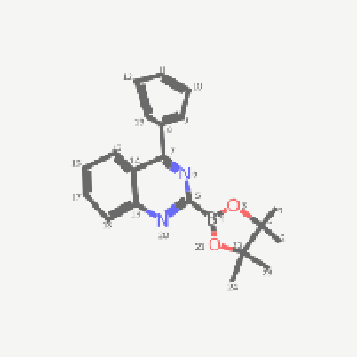 CC1(C)OB(c2nc(-c3ccccc3)c3ccccc3n2)OC1(C)C